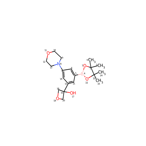 CC1(C)OB(c2cc(N3CCOCC3)cc(C3(O)COC3)c2)OC1(C)C